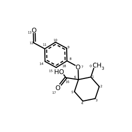 CC1CCCCC1(Oc1ccc(C=O)cc1)C(=O)O